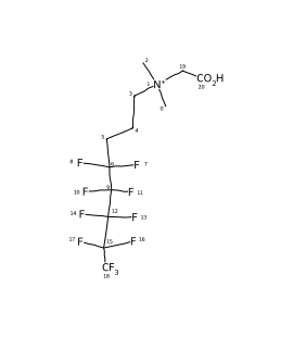 C[N+](C)(CCCC(F)(F)C(F)(F)C(F)(F)C(F)(F)C(F)(F)F)CC(=O)O